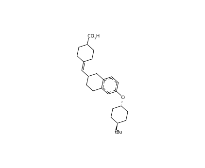 CC(C)(C)[C@H]1CC[C@H](Oc2ccc3c(c2)CCC(C=C2CCC(C(=O)O)CC2)C3)CC1